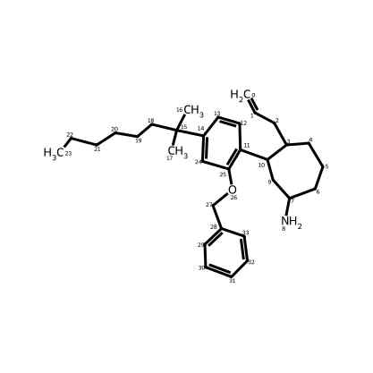 C=CCC1CCCC(N)CC1c1ccc(C(C)(C)CCCCCC)cc1OCc1ccccc1